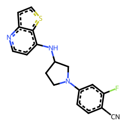 N#Cc1ccc(N2CCC(Nc3ccnc4ccsc34)C2)cc1F